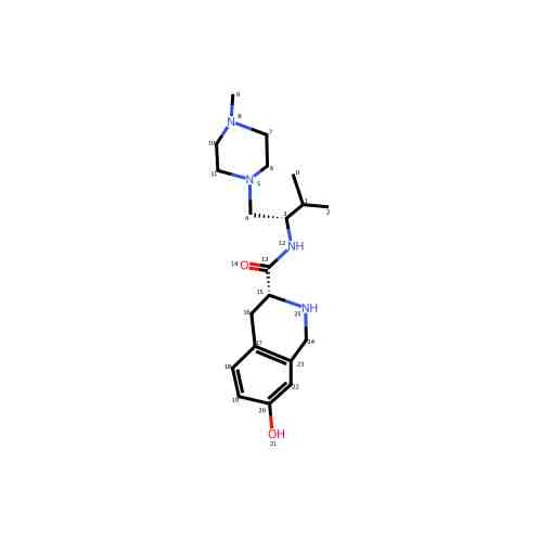 CC(C)[C@@H](CN1CCN(C)CC1)NC(=O)[C@H]1Cc2ccc(O)cc2CN1